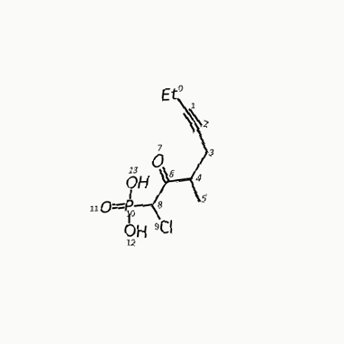 CCC#CCC(C)C(=O)C(Cl)P(=O)(O)O